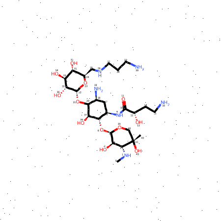 CN[C@@H]1[C@@H](O)[C@@H](O[C@H]2[C@H](NC(=O)[C@@H](O)CCN)C[C@H](N)C(O[C@H]3O[C@H](CNCCCN)[C@@H](O)[C@H](O)[C@H]3O)[C@@H]2O)OC[C@]1(C)O